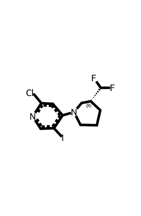 FC(F)[C@@H]1CCCN(c2cc(Cl)ncc2I)C1